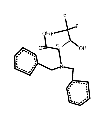 O=C(O)[C@H](C(O)C(F)(F)F)N(Cc1ccccc1)Cc1ccccc1